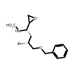 CC(C)[C@@H](COCc1ccccc1)C[C@H](NC(=O)O)C1CO1